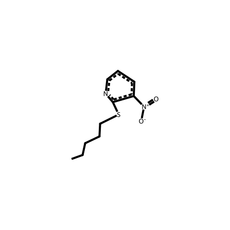 CCCCCSc1ncccc1[N+](=O)[O-]